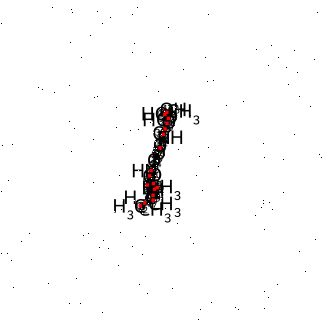 CC(C)CCC[C@@H](C)[C@H]1CC[C@H]2[C@@H]3CC=C4CC(OC(=O)NCCCOCCOCCOCCNC(=O)CCCCOC5OC(C)C(O)C(O)C5O)CC[C@]4(C)[C@H]3CC[C@]12C